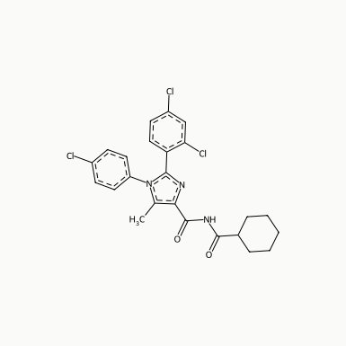 Cc1c(C(=O)NC(=O)C2CCCCC2)nc(-c2ccc(Cl)cc2Cl)n1-c1ccc(Cl)cc1